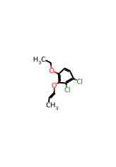 CC=COc1c(OCC)ccc(Cl)c1Cl